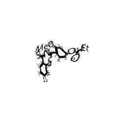 CCC(=O)Oc1ccc(-c2nc(=S)c3ccccc3s2)c(OC)c1